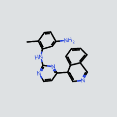 Cc1ccc(N)cc1Nc1nccc(-c2cncc3ccccc23)n1